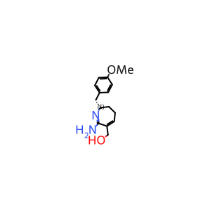 COc1ccc(C[C@@H]2CCC=C(CO)C(N)=N2)cc1